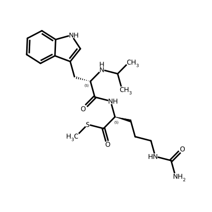 CSC(=O)[C@H](CCCNC(N)=O)NC(=O)[C@H](Cc1c[nH]c2ccccc12)NC(C)C